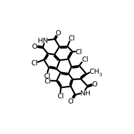 Cc1c2c3c(c(Cl)c(Cl)c4c5c(Cl)c(Cl)c6c7c(c(Cl)c(Cl)c(c(c1Cl)c34)c75)C(=O)NC6=O)C(=O)NC2=O